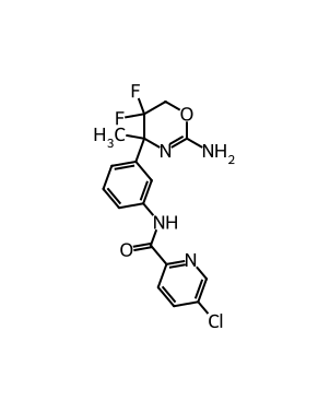 CC1(c2cccc(NC(=O)c3ccc(Cl)cn3)c2)N=C(N)OCC1(F)F